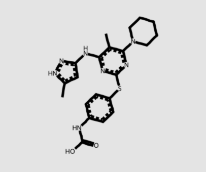 Cc1cc(Nc2nc(Sc3ccc(NC(=O)O)cc3)nc(N3CCCCC3)c2C)n[nH]1